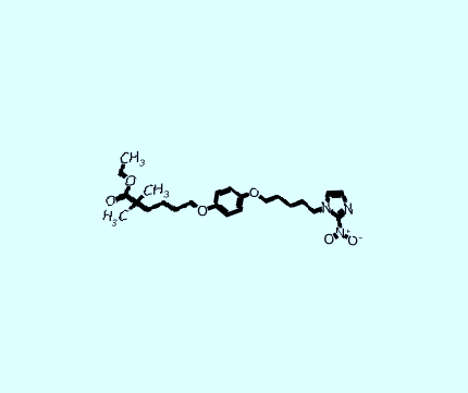 CCOC(=O)C(C)(C)CCCCOc1ccc(OCCCCCn2ccnc2[N+](=O)[O-])cc1